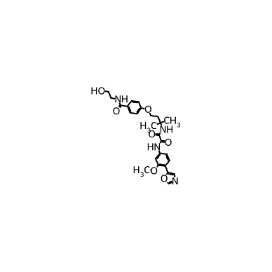 COc1cc(NC(=O)C(=O)NC(C)(C)CCOc2ccc(C(=O)NCCO)cc2)ccc1-c1cnco1